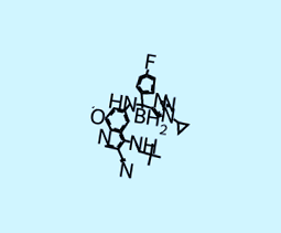 BC(Nc1cc(OC)c2ncc(C#N)c(NCC(C)(C)C)c2c1)(c1ccc(F)cc1)c1cn(C2CC2)nn1